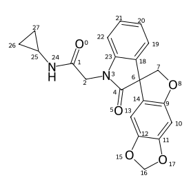 O=C(CN1C(=O)C2(COc3cc4c(cc32)OCO4)c2ccccc21)NC1CC1